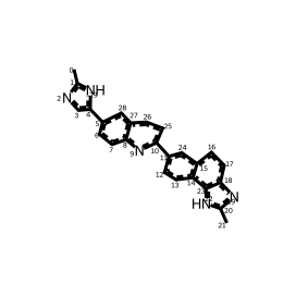 Cc1ncc(-c2ccc3nc(-c4ccc5c(ccc6nc(C)[nH]c65)c4)ccc3c2)[nH]1